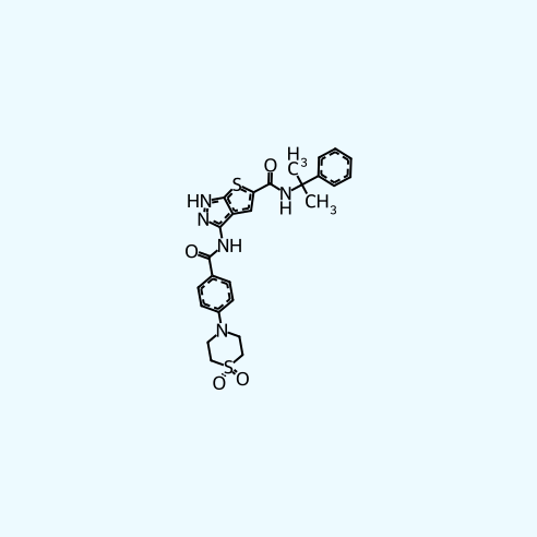 CC(C)(NC(=O)c1cc2c(NC(=O)c3ccc(N4CCS(=O)(=O)CC4)cc3)n[nH]c2s1)c1ccccc1